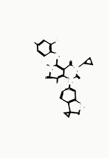 Cc1ccc(Nc2c3c(=O)n(C4CC4)c(=O)n(-c4ccc5c(c4)NC(=O)C54CC4)c3c(C)c(=O)n2C)c(F)c1